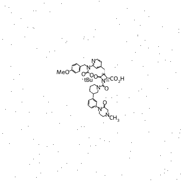 COc1ccc(CN(C(=O)OC(C)(C)C)c2cc(C[C@H]3C(=O)N(C(=O)N4CCCC(c5cccc(N6CCN(C)CC6=O)c5)C4)[C@@H]3C(=O)O)ccn2)cc1